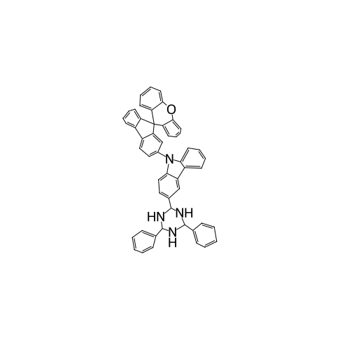 c1ccc(C2NC(c3ccccc3)NC(c3ccc4c(c3)c3ccccc3n4-c3ccc4c(c3)C3(c5ccccc5Oc5ccccc53)c3ccccc3-4)N2)cc1